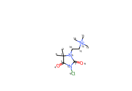 CC1(C)C(=O)N(Cl)C(=O)N1CC[N+](C)(C)C